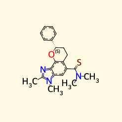 Cc1nc2c3c(c(C(=S)N(C)C)cc2n1C)CC[C@@H](c1ccccc1)O3